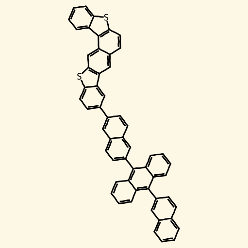 c1ccc2cc(-c3c4ccccc4c(-c4ccc5cc(-c6ccc7sc8cc9c(ccc%10sc%11ccccc%11c%109)cc8c7c6)ccc5c4)c4ccccc34)ccc2c1